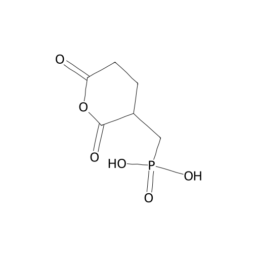 O=C1CCC(CP(=O)(O)O)C(=O)O1